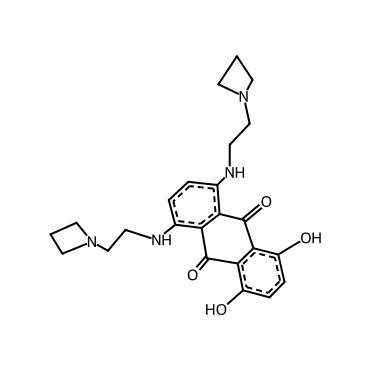 O=C1c2c(O)ccc(O)c2C(=O)c2c(NCCN3CCC3)ccc(NCCN3CCC3)c21